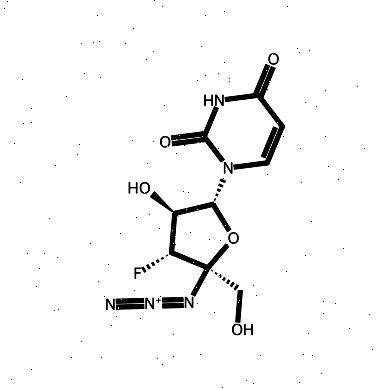 [N-]=[N+]=N[C@]1(CO)O[C@@H](n2ccc(=O)[nH]c2=O)[C@H](O)[C@H]1F